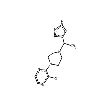 CC(c1cn[nH]c1)N1CCN(c2nccnc2Cl)CC1